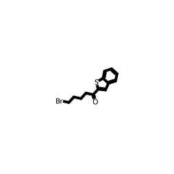 O=C(CCCCBr)c1cc2ccccc2s1